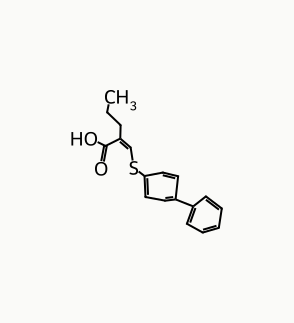 CCCC(=CSc1ccc(-c2ccccc2)cc1)C(=O)O